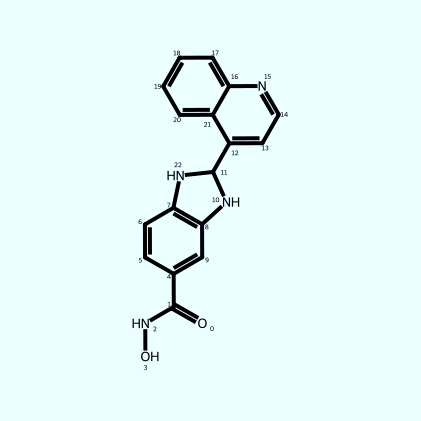 O=C(NO)c1ccc2c(c1)NC(c1ccnc3ccccc13)N2